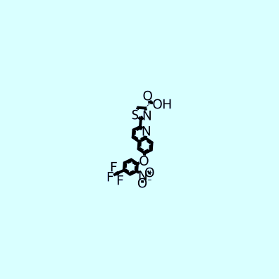 O=C(O)[C@H]1CSC(c2ccc3cc(Oc4ccc(C(F)(F)F)cc4[N+](=O)[O-])ccc3n2)=N1